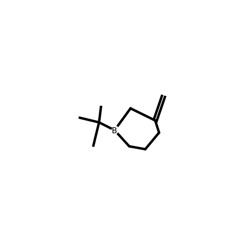 C=C1CCCB(C(C)(C)C)C1